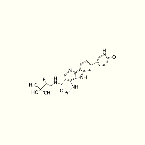 CC(C)Nc1c(C(=O)NCC(F)C(C)(C)O)cnc2c1[nH]c1cc(-c3ccc(=O)[nH]c3)ccc12